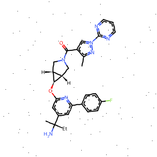 CCC(C)(N)c1cc(O[C@H]2[C@@H]3CN(C(=O)c4cn(-c5ncccn5)nc4C)C[C@@H]32)nc(-c2ccc(F)cc2)c1